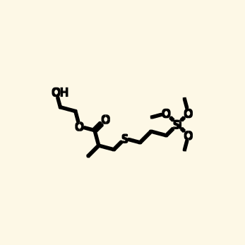 CO[Si](CCCSCC(C)C(=O)OCCO)(OC)OC